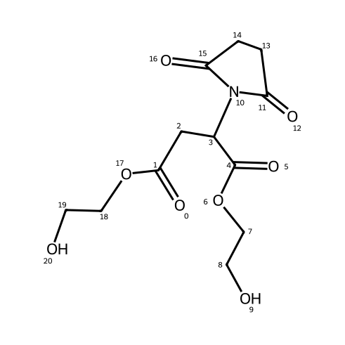 O=C(CC(C(=O)OCCO)N1C(=O)CCC1=O)OCCO